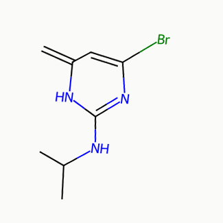 C=C1C=C(Br)N=C(NC(C)C)N1